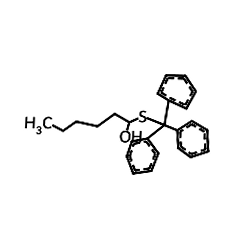 CCCCCC(O)SC(c1ccccc1)(c1ccccc1)c1ccccc1